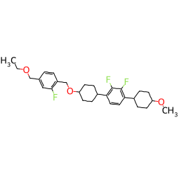 CCOCc1ccc(COC2CCC(c3ccc(C4CCC(OC)CC4)c(F)c3F)CC2)c(F)c1